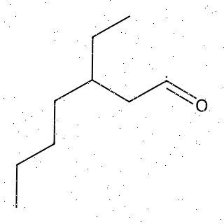 CCCCC(CC)C[C]=O